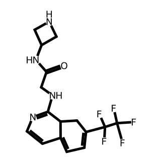 O=C(CNC1=NC=CC2=CC=C(C(F)(F)C(F)(F)F)CC21)NC1CNC1